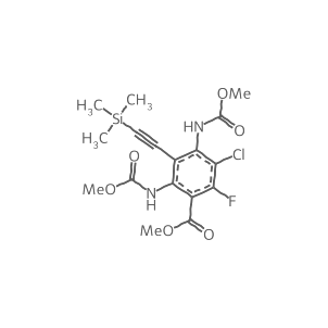 COC(=O)Nc1c(Cl)c(F)c(C(=O)OC)c(NC(=O)OC)c1C#C[Si](C)(C)C